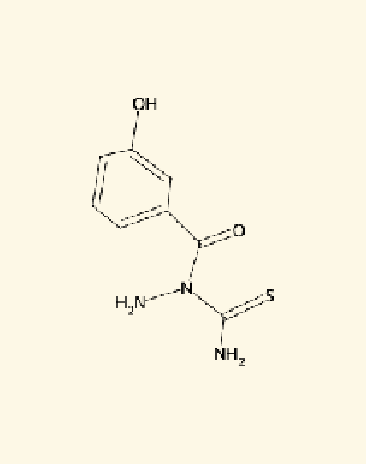 NC(=S)N(N)C(=O)c1cccc(O)c1